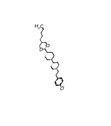 C=CCCC[C@H]1CO[C@H]([C@H]2CC[C@H]([C@H]3CC[C@H](CCc4ccc(Cl)cc4)CC3)CC2)OC1